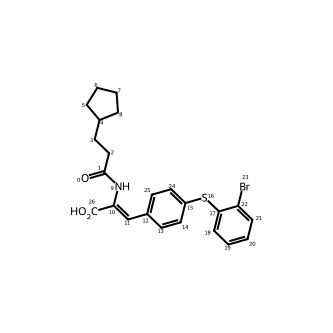 O=C(CCC1CCCC1)NC(=Cc1ccc(Sc2ccccc2Br)cc1)C(=O)O